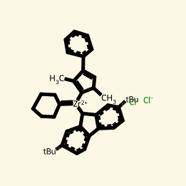 CC1=[C]([Zr+2](=[C]2CCCCC2)[CH]2c3cc(C(C)(C)C)ccc3-c3ccc(C(C)(C)C)cc32)C(C)C=C1c1ccccc1.[Cl-].[Cl-]